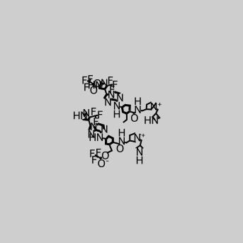 CCc1cc(Nc2nccn3c(-c4c[nH]nc4C(F)(F)F)cnc23)ccc1C(=O)NCC1CC[N+](C)(CC2CNC2)C1.CCc1cc(Nc2nccn3c(-c4c[nH]nc4C(F)(F)F)cnc23)ccc1C(=O)NCC1CC[N+](C)(CC2CNC2)C1.O=C([O-])C(F)(F)F.O=C([O-])C(F)(F)F